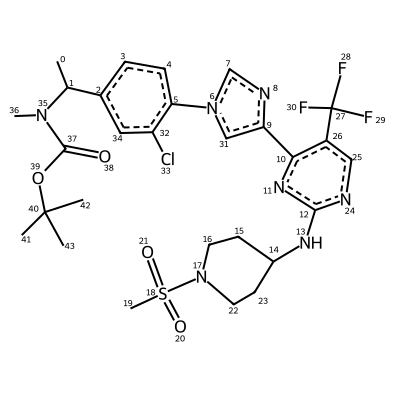 CC(c1ccc(-n2cnc(-c3nc(NC4CCN(S(C)(=O)=O)CC4)ncc3C(F)(F)F)c2)c(Cl)c1)N(C)C(=O)OC(C)(C)C